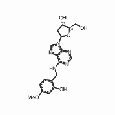 COc1ccc(CNc2ncnc3c2ncn3C2C[C@H](O)[C@@H](CO)O2)c(O)c1